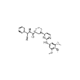 COc1cc(Nc2nccc(N3CCC[C@H](C(=O)NC(C#N)c4ccccc4)C3)n2)cc(OC)c1OC